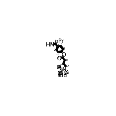 CCCC(=N)c1ccc(OC(=O)CCCN(OC(C)(C)C)[SH](=O)=O)cc1